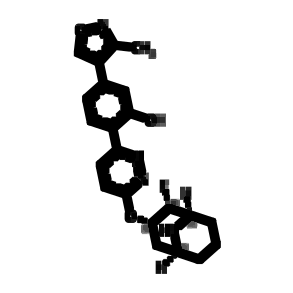 Cc1nocc1-c1ccc(-c2ccc(O[C@H]3C[C@@H]4CCC[C@@H](N4)[C@H]3F)nn2)c(O)c1